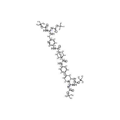 CC(C)(C)OC(=O)/N=C(\NCc1ccc(NC(=O)C23CCC(C(=O)Nc4ccc(C5=CCN(/C(=N/C(=O)OC(C)(C)C)NC(=O)OC(C)(C)C)CC5)cc4)(CC2)CC3)cn1)NC(=O)OC(C)(C)C